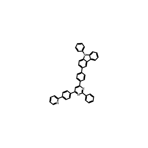 c1ccc(-c2nc(-c3ccc(-c4ccc5c(c4)c4ccccc4n5-c4ccccc4)cc3)cc(-c3ccc(-c4ccccn4)cc3)n2)cc1